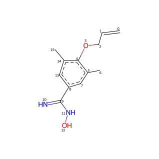 C=CCOc1c(C)cc(C(=N)NO)cc1C